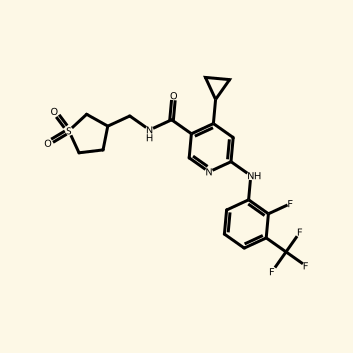 O=C(NCC1CCS(=O)(=O)C1)c1cnc(Nc2cccc(C(F)(F)F)c2F)cc1C1CC1